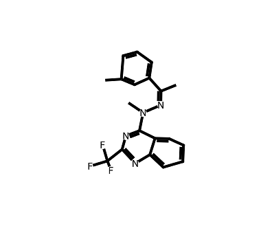 CC(=NN(C)c1nc(C(F)(F)F)nc2ccccc12)c1cccc(C)c1